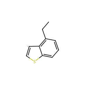 CCc1cccc2sc[c]c12